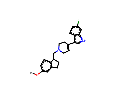 CC(C)Oc1ccc2c(c1)CCC2CN1CC=C(c2c[nH]c3cc(Cl)ccc23)CC1